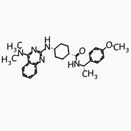 COc1ccc([C@H](C)NC(=O)[C@H]2CC[C@@H](Nc3nc(N(C)C)c4ccccc4n3)CC2)cc1